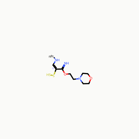 CCCN/C=C(/SS)C(=N)OCCN1CCOCC1